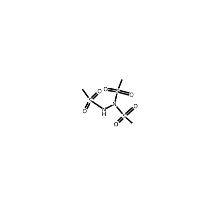 CS(=O)(=O)NN(S(C)(=O)=O)S(C)(=O)=O